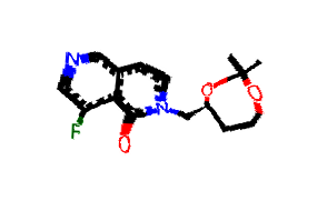 CC1(C)OCC[C@@H](Cn2ccc3cncc(F)c3c2=O)O1